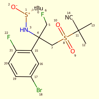 CC(C)(C)[S@@+]([O-])NC(CF)(CS(=O)(=O)C(C)(C)C#N)c1cc(Br)ccc1F